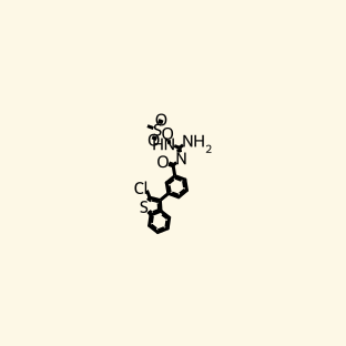 CS(=O)(=O)ONC(N)=NC(=O)c1cccc(-c2c(Cl)sc3ccccc23)c1